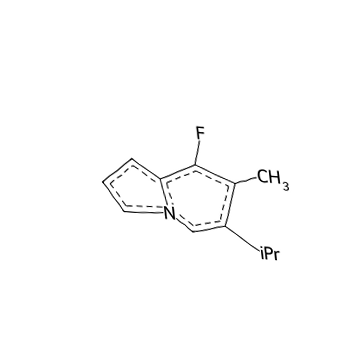 Cc1c(C(C)C)cn2cccc2c1F